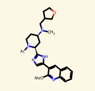 COc1nc2ccccc2cc1-c1cnc([C@@H]2C[C@H](N(C)CC3CCOC3)CCN2C(C)=O)[nH]1